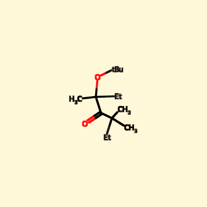 CCC(C)(C)C(=O)C(C)(CC)OC(C)(C)C